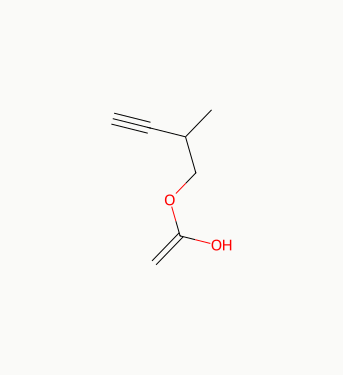 C#CC(C)COC(=C)O